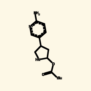 CC(C)(C)C(=O)OC1CC(c2ccc(N)nc2)CN1